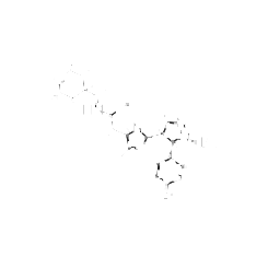 Cc1sc(-c2cnn(C(C)(C)C)c2-c2ccc(F)cc2)nc1CC(=O)NCC1CCOCC1